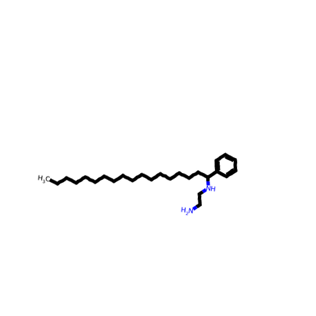 CCCCCCCCCCCCCCCCCC(NCCN)c1ccccc1